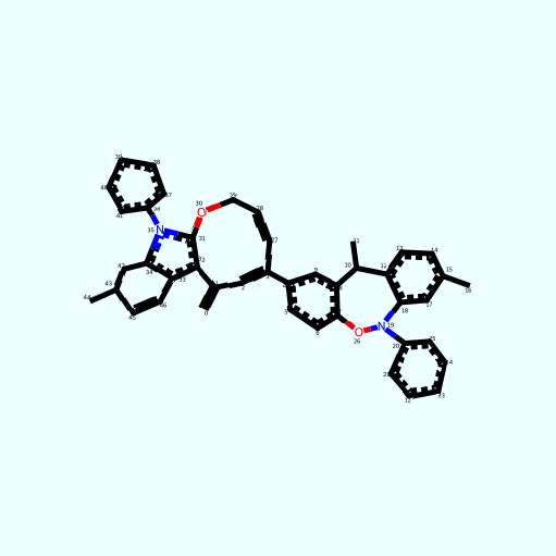 C=C1/C=C(c2ccc3c(c2)C(C)c2ccc(C)cc2N(c2ccccc2)O3)\C=C/COc2c1c1c(n2-c2ccccc2)CC(C)C=C1